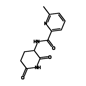 Cc1cccc(C(=O)NC2CCC(=O)NC2=O)n1